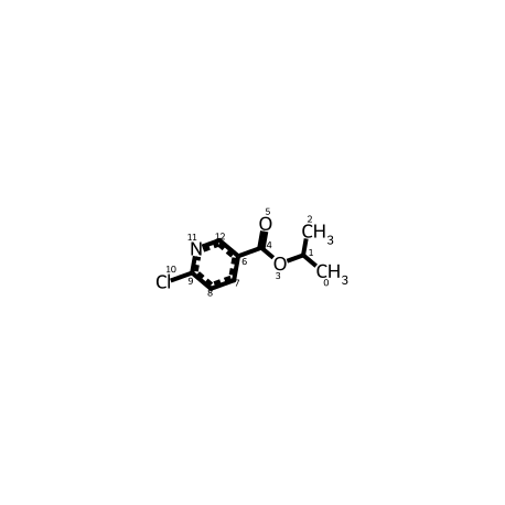 CC(C)OC(=O)c1ccc(Cl)nc1